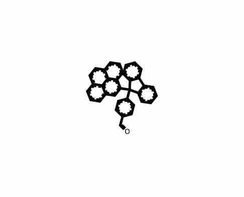 O=Cc1ccc(C2(c3cc4cccc5ccc6cccc3c6c54)c3ccccc3-c3ccccc32)cc1